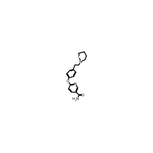 NC(=O)c1ccc(Oc2ccc(CCN3CCCCC3)cc2)nc1